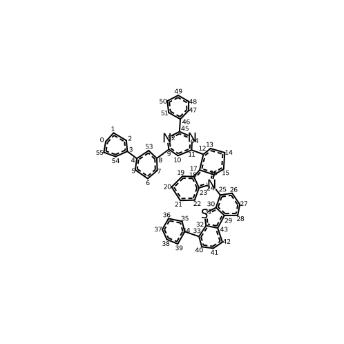 c1ccc(-c2cccc(-c3cc(-c4cccc5c4c4ccccc4n5-c4cccc5c4sc4c(-c6ccccc6)cccc45)nc(-c4ccccc4)n3)c2)cc1